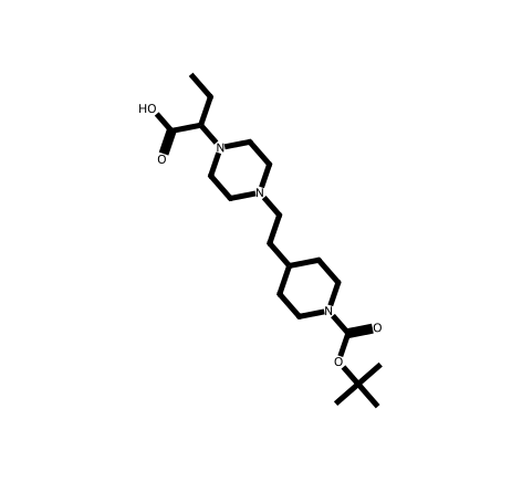 CCC(C(=O)O)N1CCN(CCC2CCN(C(=O)OC(C)(C)C)CC2)CC1